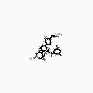 CNCc1ccc(-c2ccc([C@]3(O)[C@@H]4CN(C)C[C@H]3CN(C(=O)Nc3cc(F)cc(F)c3)C4)nc2)cc1F